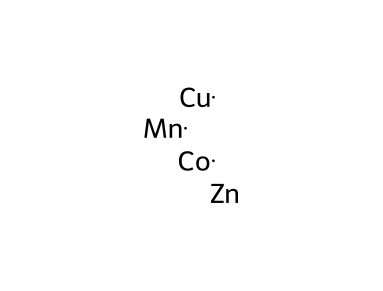 [Co].[Cu].[Mn].[Zn]